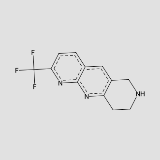 FC(F)(F)c1ccc2cc3c(nc2n1)CCNC3